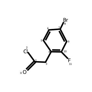 O=C(Cl)Cc1ccc(Br)cc1F